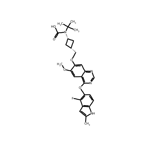 COc1cc2c(Oc3ccc4[nH]c(C)cc4c3F)ncnc2cc1OC[C@H]1C[C@@H](N(C(=O)O)C(C)(C)C)C1